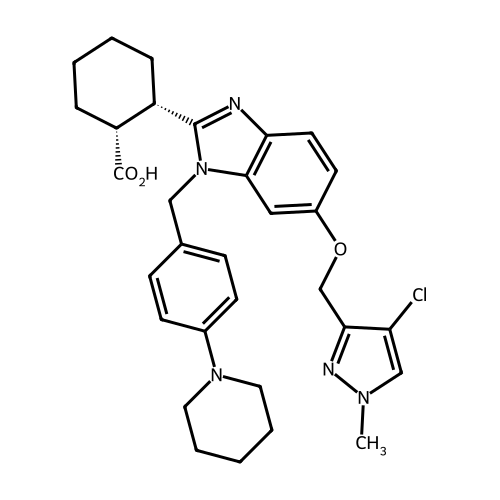 Cn1cc(Cl)c(COc2ccc3nc([C@H]4CCCC[C@H]4C(=O)O)n(Cc4ccc(N5CCCCC5)cc4)c3c2)n1